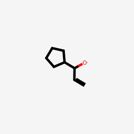 C=CC([O])C1CCCC1